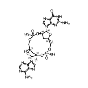 Nc1nc2c(ncn2[C@@H]2O[C@@H]3COP(=O)(S)O[C@@H]4C[C@@H](COP(=O)(S)O[C@@H]2C3)O[C@H]4n2cnc3c(N)ncnc32)c(=O)[nH]1